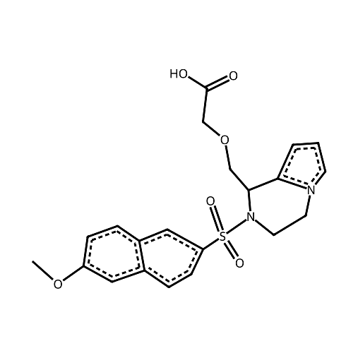 COc1ccc2cc(S(=O)(=O)N3CCn4cccc4C3COCC(=O)O)ccc2c1